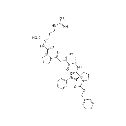 CC(C)C[C@H](NC(=O)[C@]1(N=Nc2ccccc2)CCCN1C(=O)OCc1ccccc1)C(=O)NCC(=O)N1CCC[C@H]1C(=O)N[C@@H](CCCNC(=N)N)C(=O)O